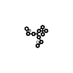 C1=CC2Oc3c(-c4ccc(N(c5ccc(-c6cccc7c6oc6ccccc67)cc5)c5ccc6c(c5)C(c5ccccc5)(c5ccccc5)c5ccccc5-6)cc4)cccc3C2C=C1